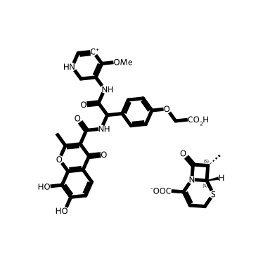 COC1=C(NC(=O)C(NC(=O)c2c(C)oc3c(O)c(O)ccc3c2=O)c2ccc(OCC(=O)O)cc2)CNC=[C+]1.C[C@H]1C(=O)N2C(C(=O)[O-])=CCS[C@@H]12